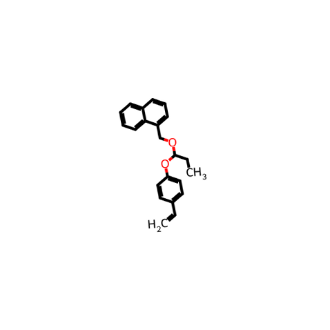 C=Cc1ccc(OC(CC)OCc2cccc3ccccc23)cc1